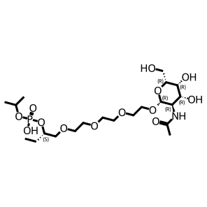 CC[C@@H](COCCOCCOCCO[C@@H]1O[C@H](CO)[C@H](O)[C@H](O)[C@H]1NC(C)=O)OP(=O)(O)OC(C)C